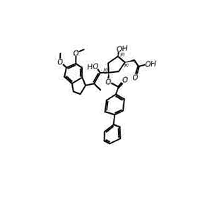 COc1cc2c(cc1OC)C(C(C)=C(O)[C@@]1(OC(=O)c3ccc(-c4ccccc4)cc3)C[C@H](CC(=O)O)[C@H](O)C1)CC2